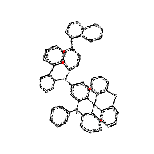 c1ccc(-c2ccccc2N(c2ccc(-c3cccc4ccccc34)cc2)c2ccc3c(c2)[SiH](c2ccccc2)c2ccccc2C32c3ccccc3Sc3ccccc32)cc1